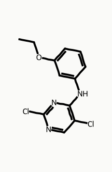 CCOc1cccc(Nc2nc(Cl)ncc2Cl)c1